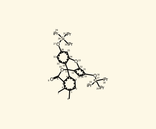 Cc1ccc2c(c1C)C(=O)OC21c2ccc(O[Si](C(C)C)(C(C)C)C(C)C)cc2Oc2cc(O[Si](C(C)C)(C(C)C)C(C)C)ccc21